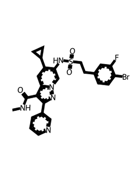 CNC(=O)c1c(-c2cccnc2)nn2cc(NS(=O)(=O)CCc3ccc(Br)c(F)c3)c(C3CC3)cc12